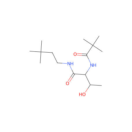 CC(O)C(NC(=O)C(C)(C)C)C(=O)NCCC(C)(C)C